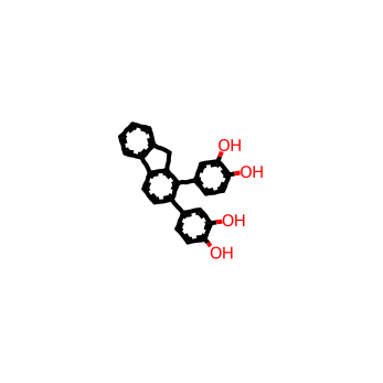 Oc1ccc(-c2ccc3c(c2-c2ccc(O)c(O)c2)Cc2ccccc2-3)cc1O